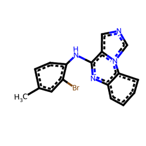 Cc1ccc(Nc2nc3ccccc3n3cncc23)c(Br)c1